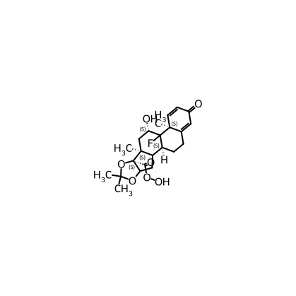 CC1(C)OC2CC3[C@@H]4CCC5=CC(=O)C=C[C@]5(C)C4(F)[C@@H](O)C[C@]3(C)[C@]2(C(=O)OO)O1